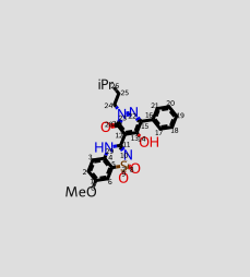 COc1ccc2c(c1)S(=O)(=O)N=C(c1c(O)c(-c3ccccc3)nn(CCC(C)C)c1=O)N2